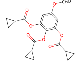 O=COc1cc(OC(=O)C2CC2)c(OC(=O)C2CC2)c(OC(=O)C2CC2)c1